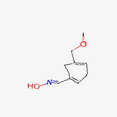 COCC1=CCC=C(C=NO)C1